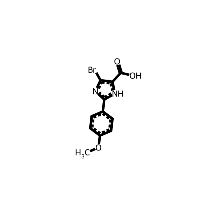 COc1ccc(-c2nc(Br)c(C(=O)O)[nH]2)cc1